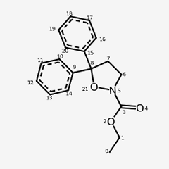 CCOC(=O)N1CCC(c2ccccc2)(c2ccccc2)O1